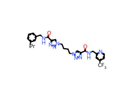 CC(C)c1cccc(CNC(=O)c2cn(CCCCn3cc(C(=O)NCc4cc(C(F)(F)F)ccn4)nn3)nn2)c1